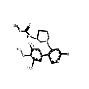 Cc1cc(-c2cnc(Cl)cc2N2CCC[C@H](NC(=O)OC(C)(C)C)C2)cc(C)c1OC(C)C